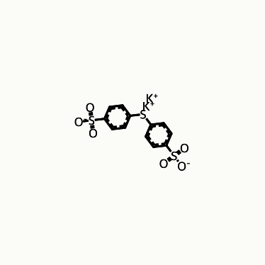 O=S(=O)([O-])c1ccc(Sc2ccc(S(=O)(=O)[O-])cc2)cc1.[K+].[K+]